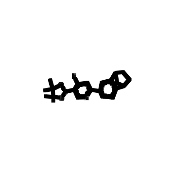 CC1(C)OB(c2cnc(-c3ccc4c(c3)C3CCC4C3)cc2F)OC1(C)C